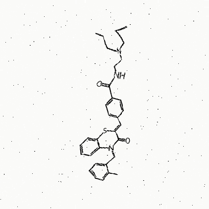 CCCN(CCC)CCNC(=O)c1ccc(C=C2Sc3ccccc3N(Cc3ccccc3C)C2=O)cc1